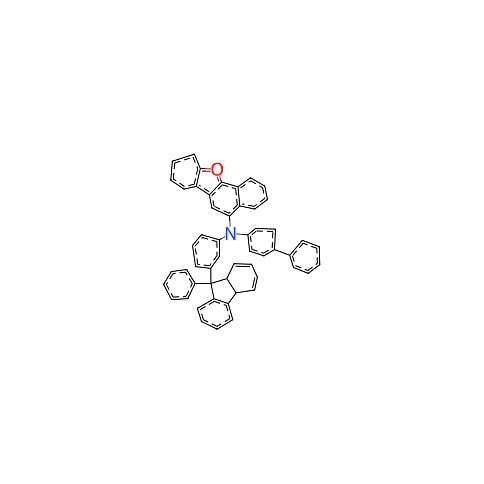 C1=CC2c3ccccc3C(c3ccccc3)(c3cccc(N(c4ccc(-c5ccccc5)cc4)c4cc5c6ccccc6oc5c5ccccc45)c3)C2C=C1